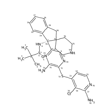 CC(C)(C)[S+]([O-])N[C@]1(c2cnc(Sc3ccnc(N)c3Cl)c(N)n2)c2ccccc2CC12CCNCC2